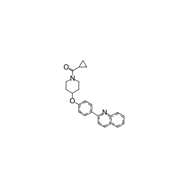 O=C(C1CC1)N1CCC(Oc2ccc(-c3ccc4ccccc4n3)cc2)CC1